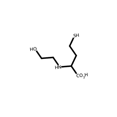 O=C(O)C(CCS)NCCO